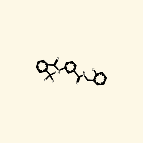 O=C(NCc1ccccc1Cl)c1cccc(NC(=O)c2ccccc2C(F)(F)F)c1